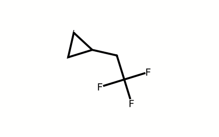 FC(F)(F)CC1[CH]C1